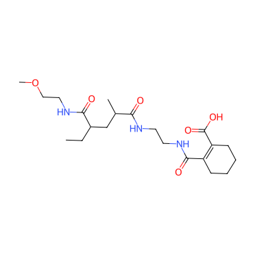 CCC(CC(C)C(=O)NCCNC(=O)C1=C(C(=O)O)CCCC1)C(=O)NCCOC